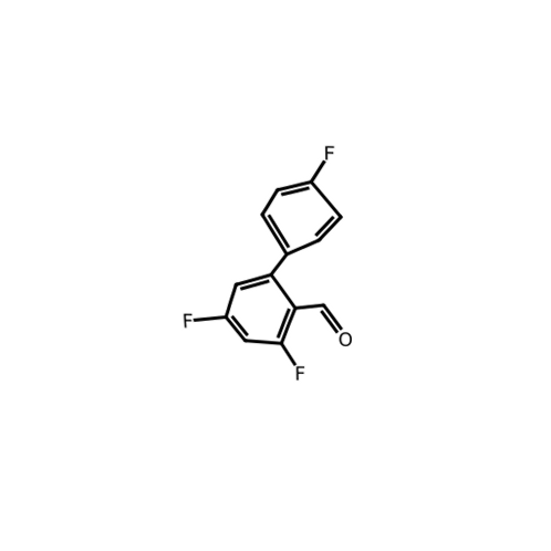 O=Cc1c(F)cc(F)cc1-c1ccc(F)cc1